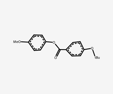 COc1ccc(OC(=O)c2ccc(OC(C)(C)C)cc2)cc1